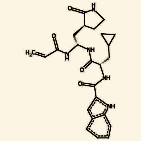 C=CC(=O)N[C@H](C[C@@H]1CCNC1=O)NC(=O)[C@H](CC1CC1)NC(=O)c1cc2ccccc2[nH]1